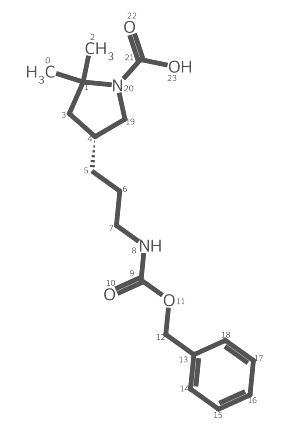 CC1(C)C[C@@H](CCCNC(=O)OCc2ccccc2)CN1C(=O)O